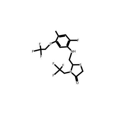 Cc1cc(F)c(NCC2SCC(=O)N2CC(F)(F)F)cc1SCC(F)(F)F